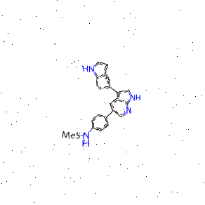 CSNc1ccc(-c2cnc3[nH]cc(-c4ccc5[nH]ccc5c4)c3c2)cc1